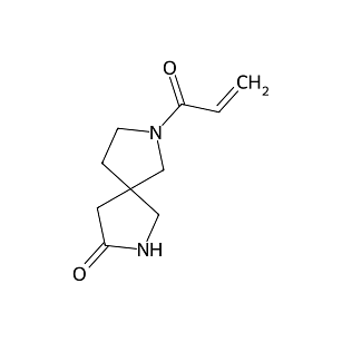 C=CC(=O)N1CCC2(CNC(=O)C2)C1